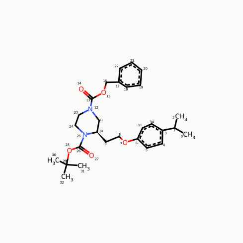 CC(C)c1ccc(OCC[C@@H]2CN(C(=O)OCc3ccccc3)CCN2C(=O)OC(C)(C)C)cc1